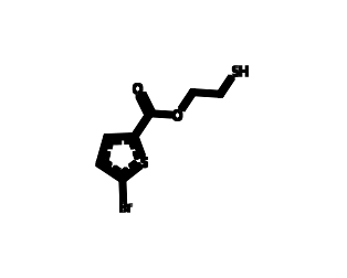 O=C(OCCS)c1ccc(Br)s1